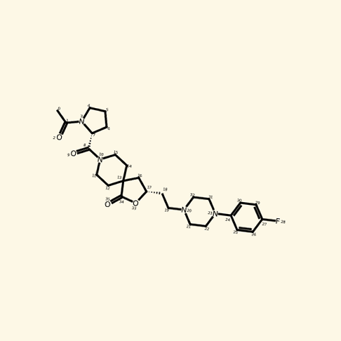 CC(=O)N1CCC[C@@H]1C(=O)N1CCC2(CC1)C[C@H](CCN1CCN(c3ccc(F)cc3)CC1)OC2=O